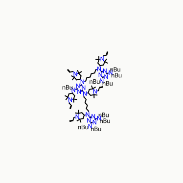 C=CCN1C(C)(C)CC(N(CCCCCCN(c2nc(N(CCCC)C3CC(C)(C)N(CC=C)C(C)(C)C3)nc(N(CCCCCCN(c3nc(N(CCCC)CCCC)nc(N(CCCC)CCCC)n3)C3CC(C)(C)N(CC=C)C(C)(C)C3)C3CC(C)(C)N(CC=C)C(C)(C)C3)n2)C2CC(C)(C)N(CC=C)C(C)(C)C2)c2nc(N(CCCC)CCCC)nc(N(CCCC)CCCC)n2)CC1(C)C